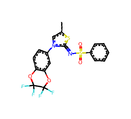 Cc1cn(-c2ccc3c(c2)OC(F)(F)C(F)(F)O3)/c(=N/S(=O)(=O)c2ccccc2)s1